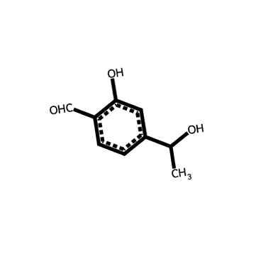 CC(O)c1ccc(C=O)c(O)c1